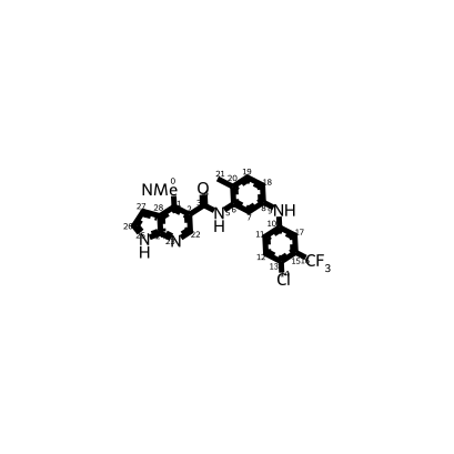 CNc1c(C(=O)Nc2cc(Nc3ccc(Cl)c(C(F)(F)F)c3)ccc2C)cnc2[nH]ccc12